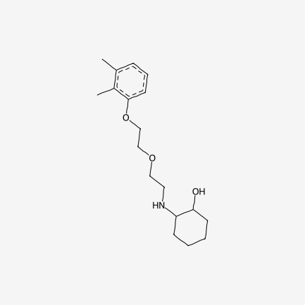 Cc1cccc(OCCOCCNC2CCCCC2O)c1C